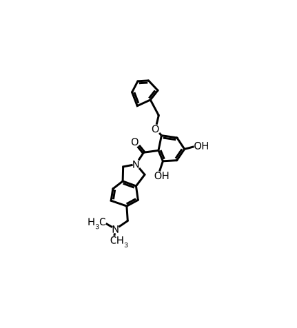 CN(C)Cc1ccc2c(c1)CN(C(=O)c1c(O)cc(O)cc1OCc1ccccc1)C2